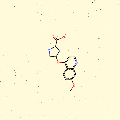 COc1ccc2c(OC3CNC(C(=O)O)C3)ccnc2c1